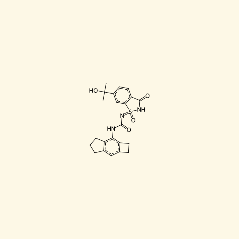 CC(C)(O)c1ccc2c(c1)S(=O)(=NC(=O)Nc1c3c(cc4c1CC4)CCC3)NC2=O